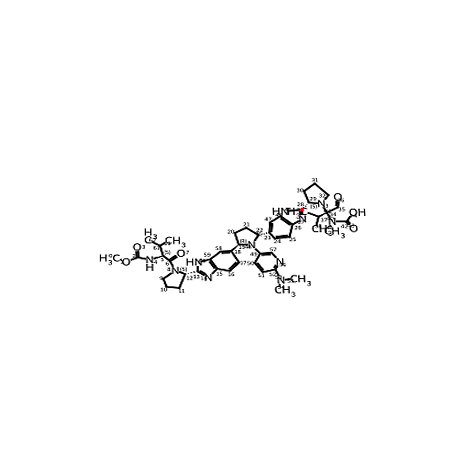 COC(=O)N[C@H](C(=O)N1CCC[C@H]1c1nc2ccc([C@H]3CC[C@H](c4ccc5nc([C@@H]6CCCN6[C@@](C=O)(C(C)C)N(C)C(=O)O)[nH]c5c4)N3c3ccc(N(C)C)nc3)cc2[nH]1)C(C)C